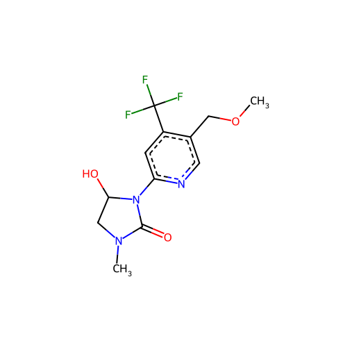 COCc1cnc(N2C(=O)N(C)CC2O)cc1C(F)(F)F